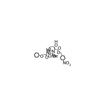 COC1(NC(=O)COc2ccccc2)C(=O)N2C(C(=O)OCc3ccc([N+](=O)[O-])cc3)=C(O)CS[C@H]21